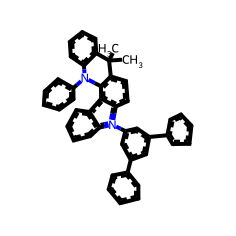 CC1(C)c2ccccc2N(c2ccccc2)c2c1ccc1c2c2ccccc2n1-c1cc(-c2ccccc2)cc(-c2ccccc2)c1